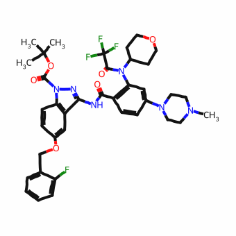 CN1CCN(c2ccc(C(=O)Nc3nn(C(=O)OC(C)(C)C)c4ccc(OCc5ccccc5F)cc34)c(N(C(=O)C(F)(F)F)C3CCOCC3)c2)CC1